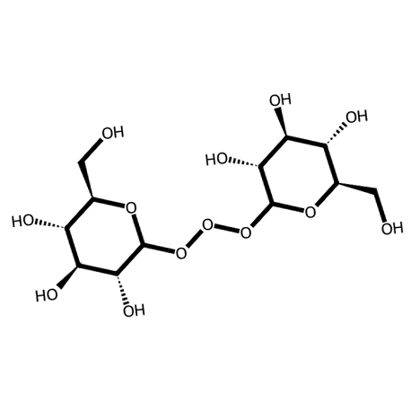 OC[C@H]1OC(OOOC2O[C@H](CO)[C@@H](O)[C@H](O)[C@H]2O)[C@H](O)[C@@H](O)[C@@H]1O